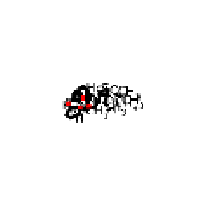 CCC(CC)(NC(=O)C(C)(C)C)C(=O)N1CCC(CCN2[C@@H]3CC[C@H]2C[C@@H](n2c(C)nc4ccccc42)C3)C(c2cccc(F)c2)C1